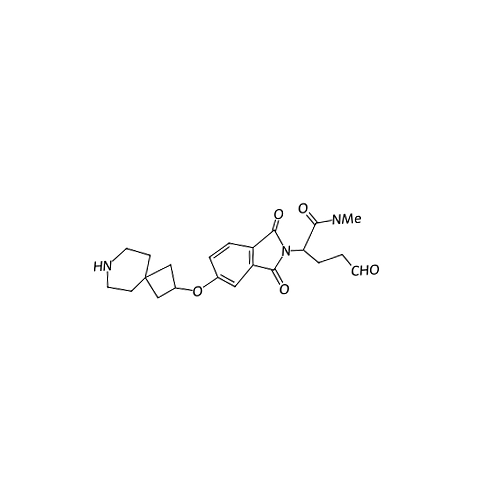 CNC(=O)C(CCC=O)N1C(=O)c2ccc(OC3CC4(CCNCC4)C3)cc2C1=O